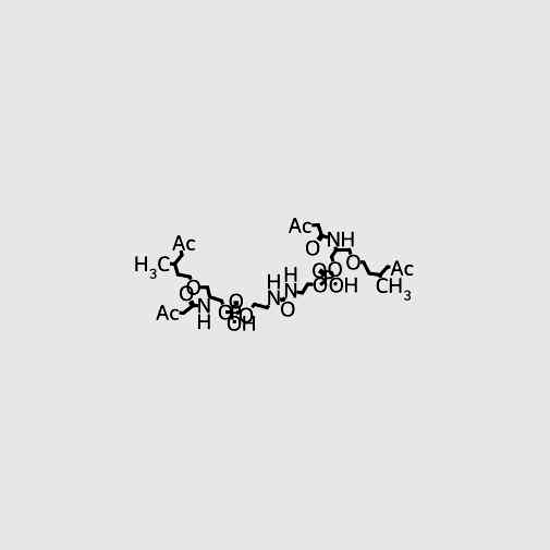 CC(=O)CC(=O)NC(COCCC(C)CC(C)=O)COP(=O)(O)OCCNC(=O)NCCOP(=O)(O)OCC(COCCC(C)CC(C)=O)NC(=O)CC(C)=O